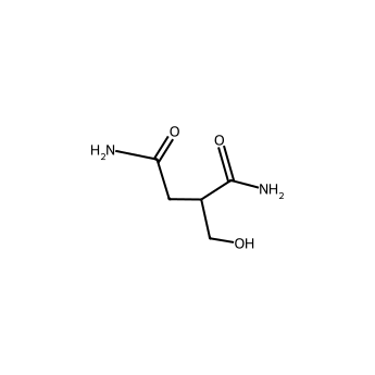 NC(=O)CC(CO)C(N)=O